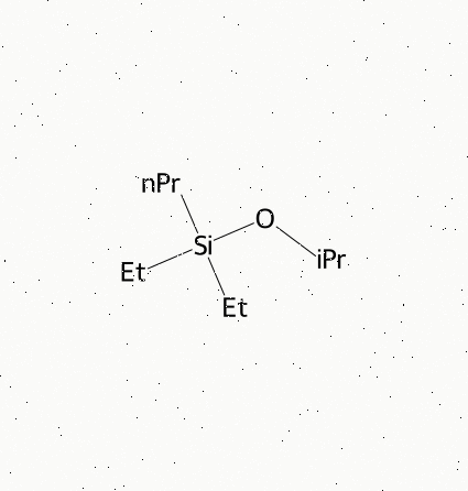 CCC[Si](CC)(CC)OC(C)C